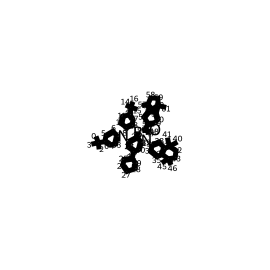 CC(C)(C)c1ccc(N2c3ccc(C(C)(C)C)cc3B3c4c2cc(-c2ccccc2)cc4N(c2ccc4c(c2)C(C)(C)CCC4(C)C)c2oc4cc5c(cc4c23)C2(C)CCC5(C)C2)cc1